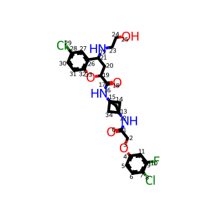 O=C(COc1ccc(Cl)c(F)c1)NC12CC(NC(=O)C3CC(NCCO)c4cc(Cl)ccc4O3)(C1)C2